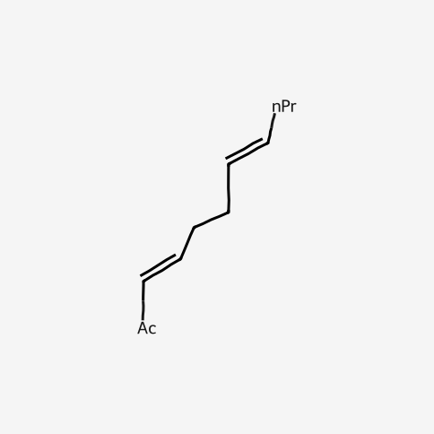 CCCC=CCCC=CC(C)=O